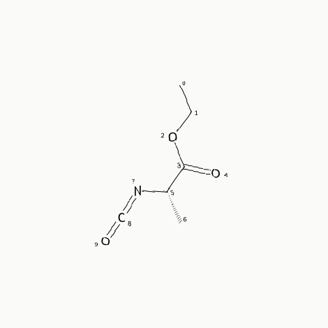 CCOC(=O)[C@H](C)N=C=O